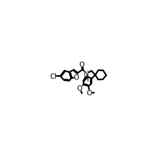 COc1ccc(C2(CNC(=O)c3cc4cc(Cl)ccc4o3)CCCCC2)cc1OC